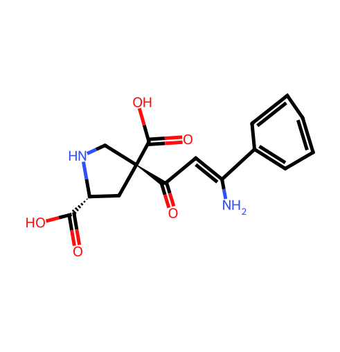 NC(=CC(=O)[C@]1(C(=O)O)CN[C@@H](C(=O)O)C1)c1ccccc1